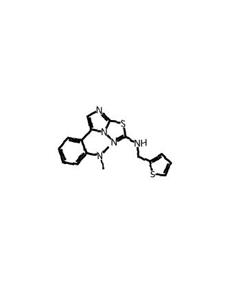 CN(C)c1ccccc1-c1cnc2sc(NCc3cccs3)nn12